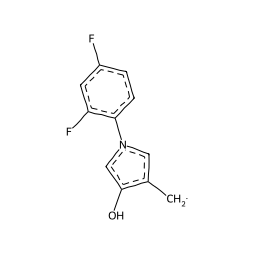 [CH2]c1cn(-c2ccc(F)cc2F)cc1O